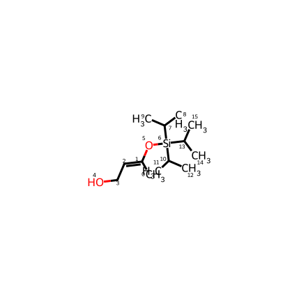 C/C(=C\CO)O[Si](C(C)C)(C(C)C)C(C)C